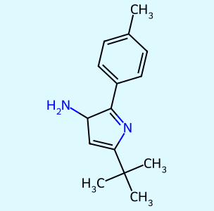 Cc1ccc(C2=NC(C(C)(C)C)=CC2N)cc1